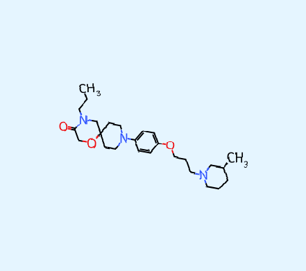 CCCN1CC2(CCN(c3ccc(OCCCN4CCC[C@H](C)C4)cc3)CC2)OCC1=O